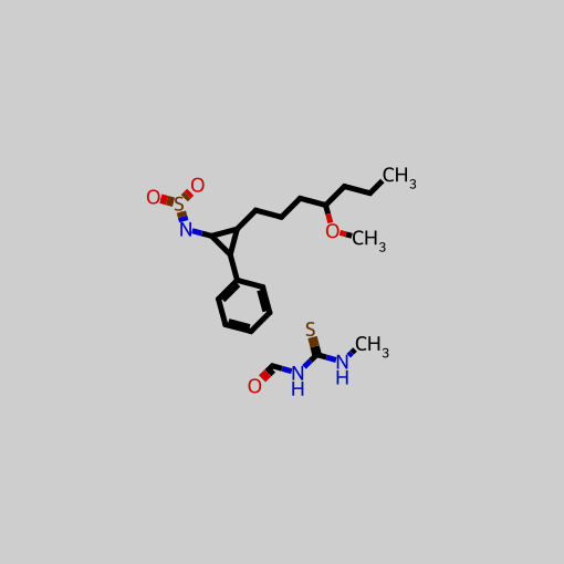 CCCC(CCCC1C(N=S(=O)=O)C1c1ccccc1)OC.CNC(=S)NC=O